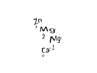 [Ca].[Mg].[Mg].[Zn]